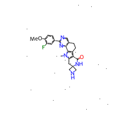 COc1ccc(-c2ncc3c(n2)-c2c(c4c(n2C)CC2(CNC2)NC4=O)CC3)cc1F